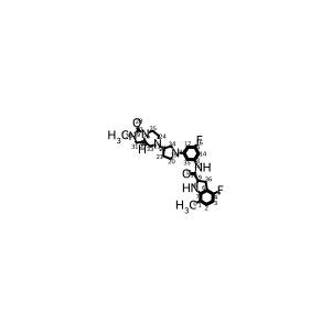 Cc1ccc(F)c2c1NC(C(=O)Nc1cc(F)cc(N3CC[C@H](N4CCN5C(=O)N(C)C[C@@H]5C4)C3)c1)C2